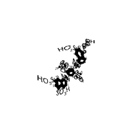 CS(=O)(=O)Oc1cc(-n2nc3ccc4c(S(=O)(=O)O)cc(S(=O)(=O)O)cc4c3n2)c(OS(C)(=O)=O)cc1-n1nc2ccc3c(SOOO)cc(S(=O)(=O)O)cc3c2n1